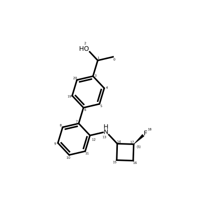 CC(O)c1ccc(-c2ccccc2NC2CC[C@@H]2F)cc1